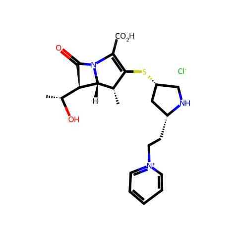 C[C@@H](O)[C@H]1C(=O)N2C(C(=O)O)=C(S[C@@H]3CN[C@H](CC[n+]4ccccc4)C3)[C@H](C)[C@H]12.[Cl-]